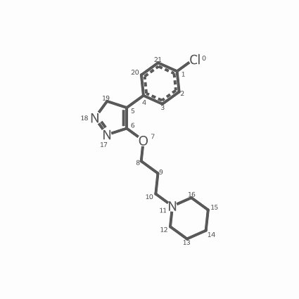 Clc1ccc(C2=C(OCCCN3CCCCC3)N=NC2)cc1